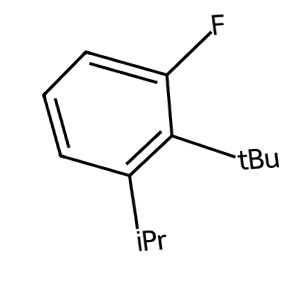 CC(C)c1cccc(F)c1C(C)(C)C